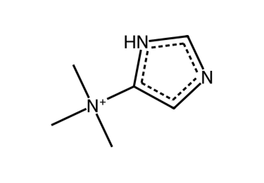 C[N+](C)(C)c1cnc[nH]1